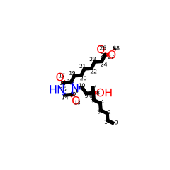 CCCCCCC(C)(O)CCN1C(=O)CNC(=O)C1CCCCCCC(=O)OC